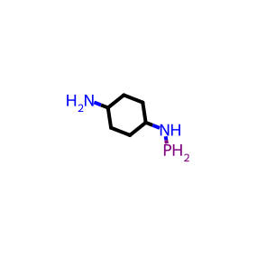 NC1CCC(NP)CC1